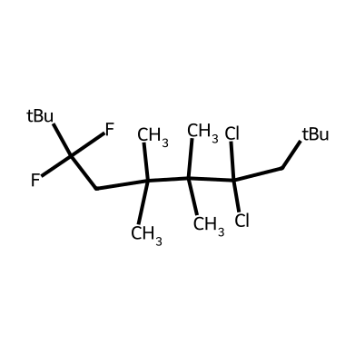 CC(C)(C)CC(Cl)(Cl)C(C)(C)C(C)(C)CC(F)(F)C(C)(C)C